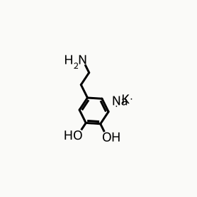 NCCc1ccc(O)c(O)c1.[K].[Na]